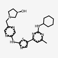 Cc1cc(-c2cnc(Nc3cnc(CN4CC[C@@H](O)C4)cn3)s2)nc(NC2CCCCC2)n1